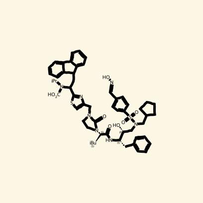 CC[C@H](C)[C@@H](C(=O)N[C@@H](Cc1ccccc1)[C@H](O)CN(CC1CCCC1)S(=O)(=O)c1ccc(C=NO)cc1)N1CCN(Cc2csc(C(CC3c4ccccc4-c4ccccc43)N(C(=O)O)C(C)C)n2)C1=O